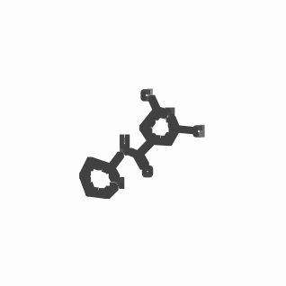 O=C(Nc1ccccn1)c1cc(Cl)nc(Cl)c1